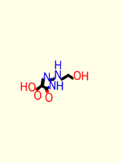 O=C(O)c1cnc(NCCCO)[nH]c1=O